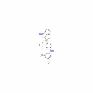 COc1cc(Nc2ccc(S(=O)(=O)C3CNc4ccccc43)c(C(F)(F)F)c2)cc(OC)c1